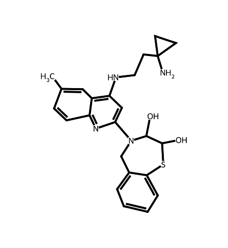 Cc1ccc2nc(N3Cc4ccccc4SC(O)C3O)cc(NCCC3(N)CC3)c2c1